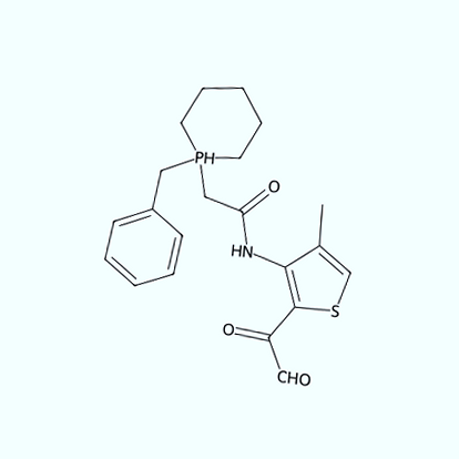 Cc1csc(C(=O)C=O)c1NC(=O)C[PH]1(Cc2ccccc2)CCCCC1